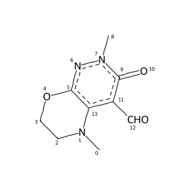 CN1CCOc2nn(C)c(=O)c(C=O)c21